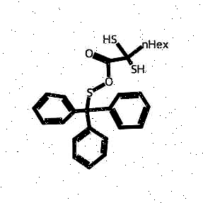 CCCCCCC(S)(S)C(=O)OSC(c1ccccc1)(c1ccccc1)c1ccccc1